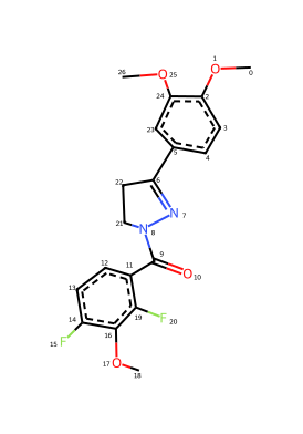 COc1ccc(C2=NN(C(=O)c3ccc(F)c(OC)c3F)CC2)cc1OC